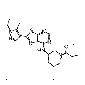 CCC(=O)N1CCCC(Nc2ncnc3c2nc(-c2cnn(CC)c2C)n3C)C1